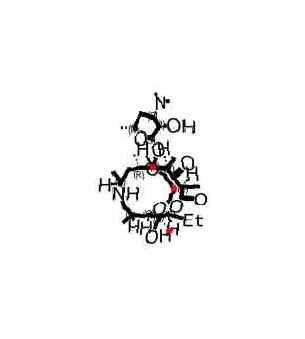 CC[C@H]1OC(=O)[C@H](C)C(=O)[C@H](C)[C@@H](O[C@@H]2O[C@H](C)C[C@H](N(C)C)[C@H]2O)[C@@]2(C)C[C@@H](C)NC[C@H](C)[C@@H](OCC(C)CO2)[C@]1(C)O